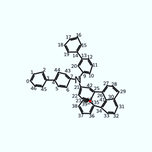 c1ccc(-c2ccc(N(c3cccc(-c4ccccc4)c3)c3cccc(-c4cccc5cccc(-c6ccccc6)c45)c3)cc2)cc1